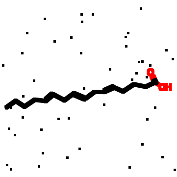 CCCCC=CCC=CCC=CCCCC(=O)O